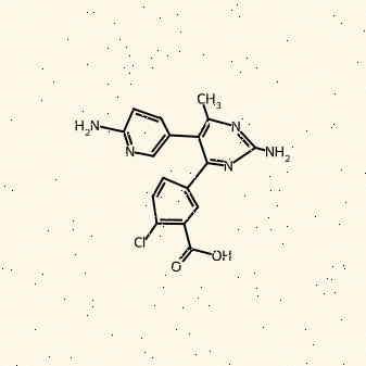 Cc1nc(N)nc(-c2ccc(Cl)c(C(=O)O)c2)c1-c1ccc(N)nc1